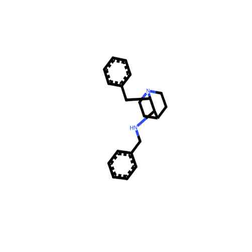 c1ccc(CNC2C3CCN(CC3)C2Cc2ccccc2)cc1